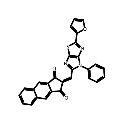 O=C1C(=Cc2nc3sc(-c4ccco4)nc3n2-c2ccccc2)C(=O)c2cc3ccccc3cc21